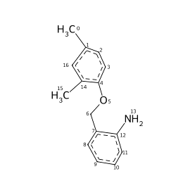 Cc1ccc(OCc2ccccc2N)c(C)c1